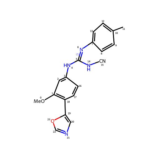 COc1cc(N/C(=N/c2ccc(C)cc2)NC#N)ccc1-c1cnco1